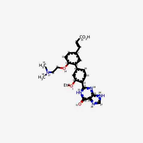 CCOc1cc(-c2cc(/C=C/C(=O)O)ccc2OCCN(C)C)ccc1-c1nc2[nH]cnc2c(=O)[nH]1